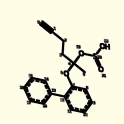 C#CCCC(C)(Oc1ccccc1-c1ccccc1)OS(=O)O